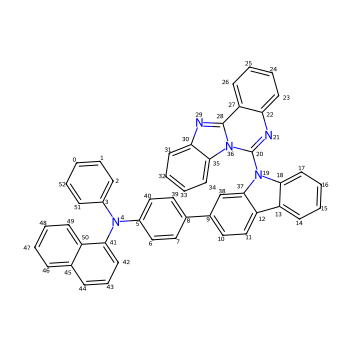 c1ccc(N(c2ccc(-c3ccc4c5ccccc5n(-c5nc6ccccc6c6nc7ccccc7n56)c4c3)cc2)c2cccc3ccccc23)cc1